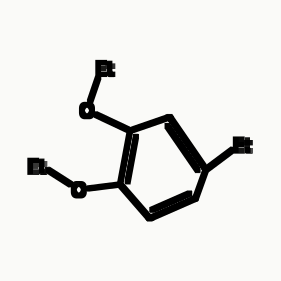 [CH2]Cc1ccc(OCC)c(OCC)c1